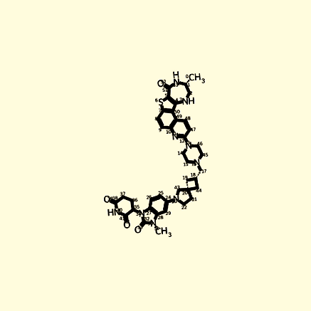 C[C@@H]1CNc2c(sc3ccc4nc(N5CCN(C[C@H]6C[C@@]7(CCN(c8ccc9c(c8)n(C)c(=O)n9C8CCC(=O)NC8=O)C7)C6)CC5)ccc4c23)C(=O)N1